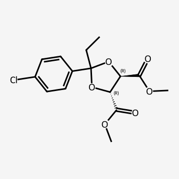 CCC1(c2ccc(Cl)cc2)O[C@@H](C(=O)OC)[C@H](C(=O)OC)O1